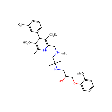 CCCCN(CC1=C(C(=O)OCC)C(c2cccc([N+](=O)[O-])c2)C(C(=O)O)=C(C)N1)CC(C)(C)NCC(O)COc1ccccc1OC